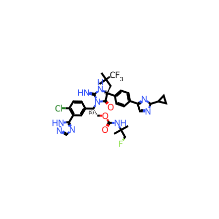 CC(C)(CF)NC(=O)OC[C@H](c1ccc(Cl)c(-c2ncn[nH]2)c1)N1C(=N)N[C@](CC(C)(C)C(F)(F)F)(c2ccc(C3=NC(C4CC4)N=C3)cc2)C1=O